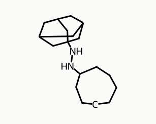 C1CCCC(NNC23CC4CC(CC(C4)C2)C3)CCC1